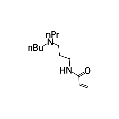 C=CC(=O)NCCCN(CCC)CCCC